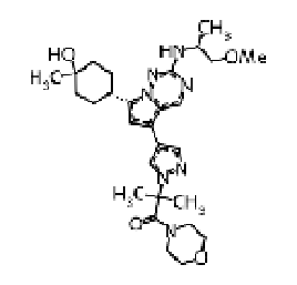 COC[C@H](C)Nc1ncc2c(-c3cnn(C(C)(C)C(=O)N4CCOCC4)c3)cc([C@H]3CC[C@@](C)(O)CC3)n2n1